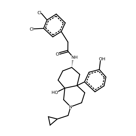 O=C(Cc1ccc(Cl)c(Cl)c1)N[C@H]1CCC2(O)CN(CC3CC3)CCC2(c2cccc(O)c2)C1